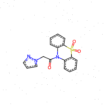 O=C(Cn1cccn1)N1c2ccccc2S(=O)(=O)c2ccccc21